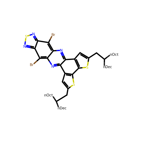 CCCCCCCCCCC(CCCCCCCC)Cc1cc2c3nc4c(Br)c5nsnc5c(Br)c4nc3c3cc(CC(CCCCCCCC)CCCCCCCCCC)sc3c2s1